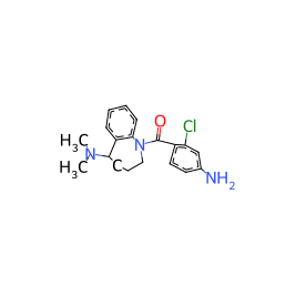 CN(C)C1CCCN(C(=O)c2ccc(N)cc2Cl)c2ccccc21